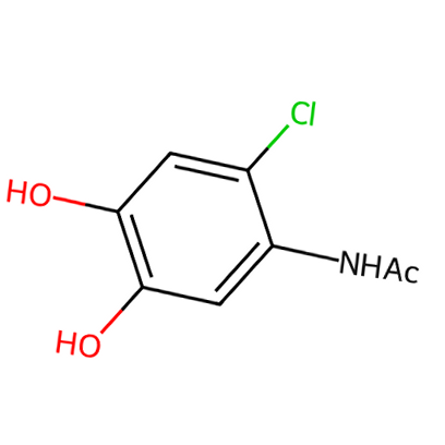 CC(=O)Nc1cc(O)c(O)cc1Cl